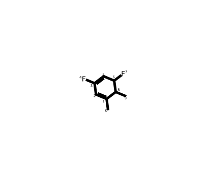 CC1=CC(F)=CC(F)C1C